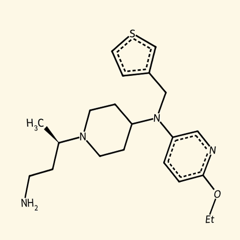 CCOc1ccc(N(Cc2ccsc2)C2CCN([C@H](C)CCN)CC2)cn1